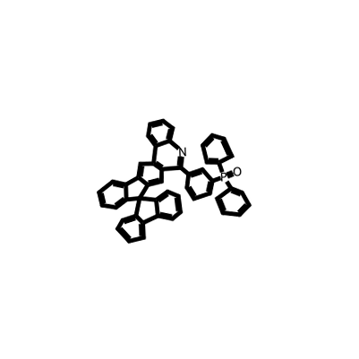 O=P(c1ccccc1)(c1ccccc1)c1cccc(-c2nc3ccccc3c3cc4c(cc23)C2(c3ccccc3-c3ccccc32)c2ccccc2-4)c1